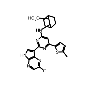 Cc1ccc(-c2cc(NC3C4CCC(CC4)C3C(=O)O)nc(-c3c[nH]c4ncc(Cl)nc34)n2)s1